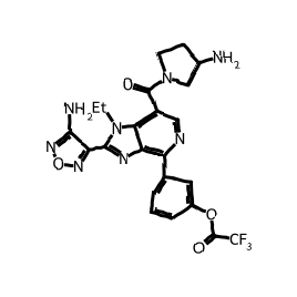 CCn1c(-c2nonc2N)nc2c(-c3cccc(OC(=O)C(F)(F)F)c3)ncc(C(=O)N3CCC(N)C3)c21